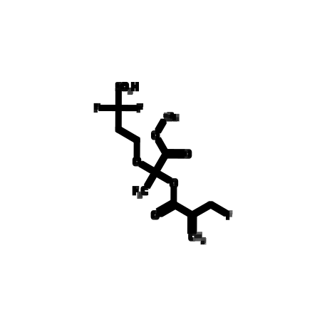 C=C(CF)C(=O)OC(OCCC(F)(F)S(=O)(=O)O)(C(=O)OC(C)(C)C)C(F)(F)F